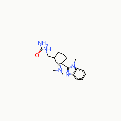 CN(C)[C@]1(c2nc3ccccc3n2C)CCCC(CNC(N)=O)C1